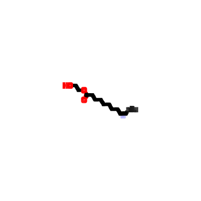 CCCC/C=C\CCCCCCCC(=O)OCCO